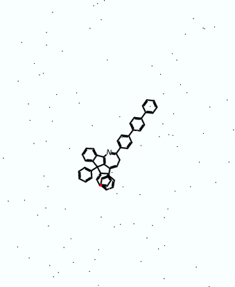 C1=C(c2ccccc2)C2=C(N=C(c3ccc(-c4ccc(-c5ccccc5)cc4)cc3)C1)c1ccccc1C2(c1ccccc1)c1ccccc1